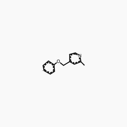 Cc1cc(COc2cc[c]cc2)ccn1